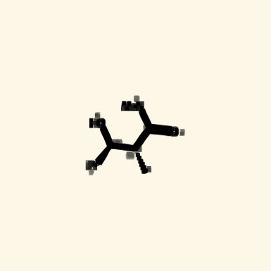 CNC(=O)[C@H](C)[C@H](O)C(C)C